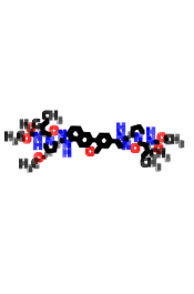 CC[C@H](C)[C@H](NC(=O)OC)C(=O)N1CCC[C@H]1c1ncc(-c2ccc3c(c2)COc2cc4c(ccc5nc([C@@H]6C[C@H](COC)CN6C(=O)[C@@H](NC(=O)OC)[C@@H](C)CC)[nH]c54)cc2-3)[nH]1